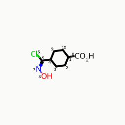 O=C(O)C1CCC(/C(Cl)=N\O)CC1